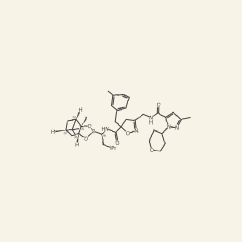 Cc1cccc(CC2(C(=O)N[C@@H](CC(C)C)B3O[C@@H]4C[C@@H]5C[C@@H](C5(C)C)[C@]4(C)O3)CC(CNC(=O)c3cc(C)nn3C3CCOCC3)=NO2)c1